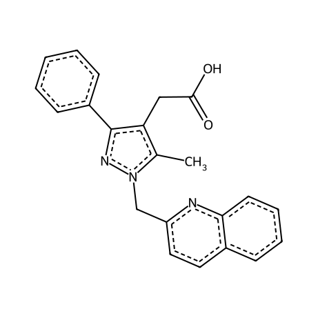 Cc1c(CC(=O)O)c(-c2ccccc2)nn1Cc1ccc2ccccc2n1